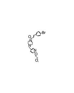 COCCOc1ccc(CN2CCN(C(=O)/C=C/c3ccc(Br)cc3)CC2)cn1